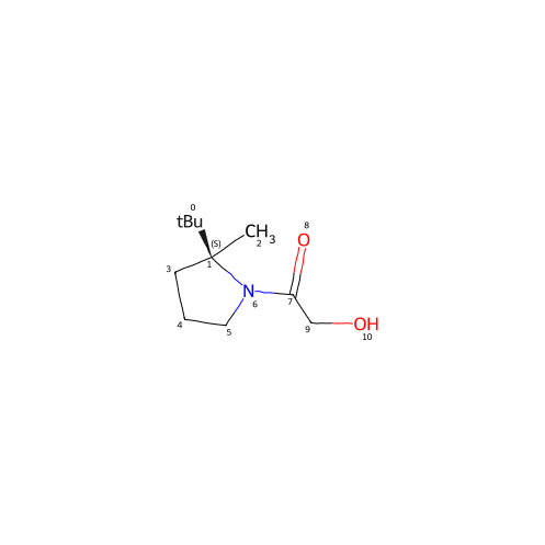 CC(C)(C)[C@]1(C)CCCN1C(=O)CO